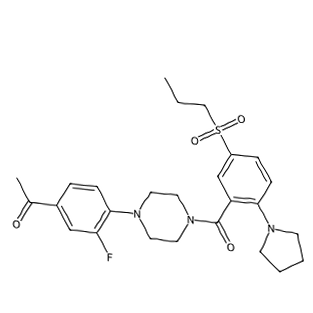 CCCS(=O)(=O)c1ccc(N2CCCC2)c(C(=O)N2CCN(c3ccc(C(C)=O)cc3F)CC2)c1